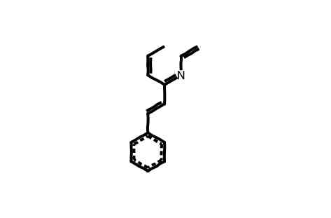 C=C/N=C(\C=C/C)/C=C/c1ccccc1